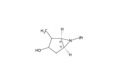 CC1C(O)C[C@H]2[C@@H]1N2C(C)C